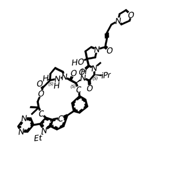 CCn1c(-c2cncnc2)c2c3cc(ccc31)-c1cccc(c1)C[C@H](NC(=O)[C@H](C(C)C)N(C)C(=O)C1(O)CCN(C(=O)C#CCN3CCOCC3)C1)C(=O)N1CCC[C@H](N1)C(=O)OCC(C)(C)C2